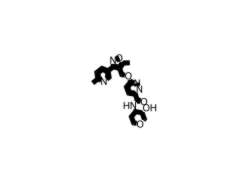 Cc1ccc(-c2noc(C)c2COc2ccc(C(=O)N[C@@H]3CCOCC3O)nn2)cn1